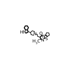 Cc1nc2sc3c(n2c(=O)c1CCN1CCC(c2c[nH]c4ccccc24)CC1)CCC3